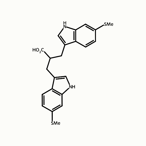 CSc1ccc2c(CC(Cc3c[nH]c4cc(SC)ccc34)C(=O)O)c[nH]c2c1